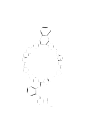 C=Cc1ccccc1C=C1OCCOCCOCCOc2cc3ccccc3cc2OCCOCCOCCO1